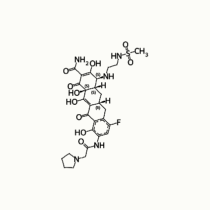 CS(=O)(=O)NCCN[C@@H]1C(O)=C(C(N)=O)C(=O)[C@@]2(O)C(O)=C3C(=O)c4c(O)c(NC(=O)CN5CCCC5)cc(F)c4C[C@H]3C[C@@H]12